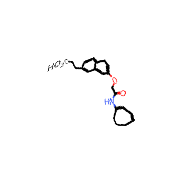 O=C(O)CCc1ccc2ccc(OCC(=O)NC3CCCCCC3)cc2c1